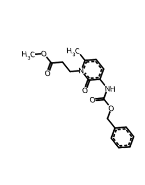 COC(=O)CCn1c(C)ccc(NC(=O)OCc2ccccc2)c1=O